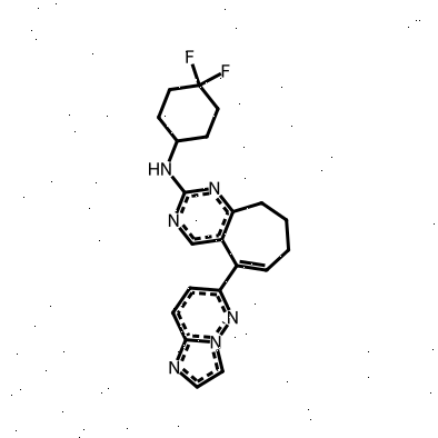 FC1(F)CCC(Nc2ncc3c(n2)CCCC=C3c2ccc3nccn3n2)CC1